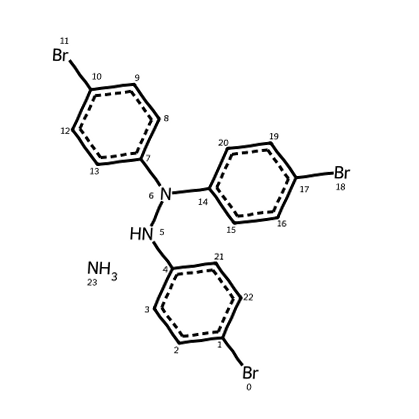 Brc1ccc(NN(c2ccc(Br)cc2)c2ccc(Br)cc2)cc1.N